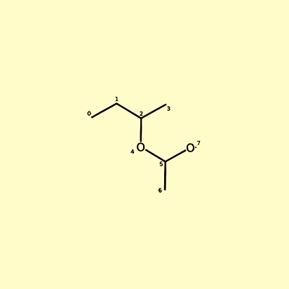 CCC(C)OC(C)[O]